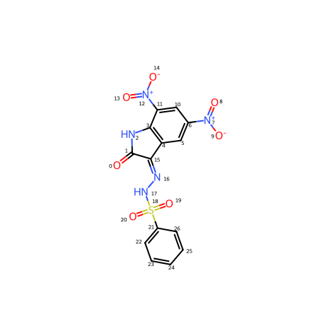 O=C1Nc2c(cc([N+](=O)[O-])cc2[N+](=O)[O-])C1=NNS(=O)(=O)c1ccccc1